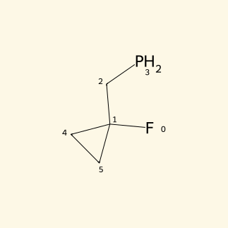 FC1(CP)CC1